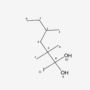 CCC(C)CC(C)(C)C(O)(O)I